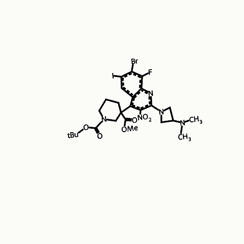 COC(=O)C1(c2c([N+](=O)[O-])c(N3CC(N(C)C)C3)nc3c(F)c(Br)c(I)cc23)CCCN(C(=O)OC(C)(C)C)C1